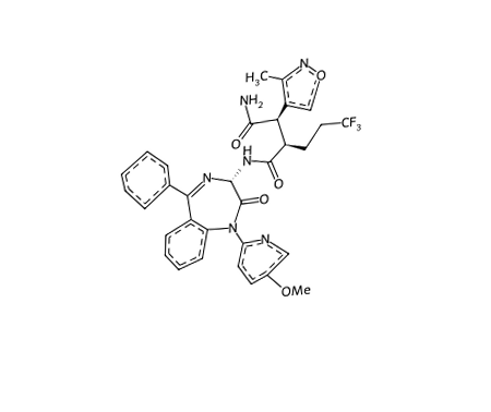 COc1ccc(N2C(=O)[C@@H](NC(=O)[C@H](CCC(F)(F)F)[C@@H](C(N)=O)c3conc3C)N=C(c3ccccc3)c3ccccc32)nc1